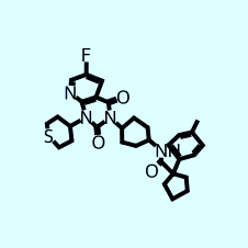 Cc1ccc(C2(C(=O)NC3CCC(n4c(=O)c5cc(F)cnc5n(C5CCSCC5)c4=O)CC3)CCCC2)cc1